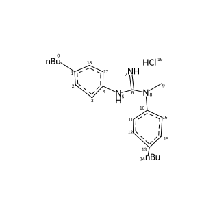 CCCCc1ccc(NC(=N)N(C)c2ccc(CCCC)cc2)cc1.Cl